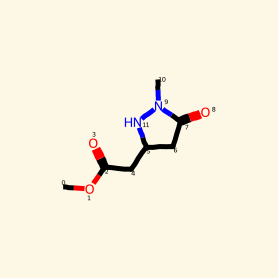 COC(=O)CC1CC(=O)N(C)N1